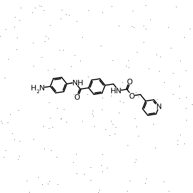 Nc1ccc(NC(=O)c2ccc(CNC(=O)OCc3cccnc3)cc2)cc1